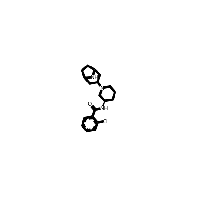 O=C(N[C@@H]1CCCN(C2CC3CCC(C2)N3)C1)c1ccccc1Cl